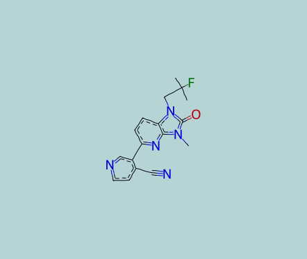 Cn1c(=O)n(CC(C)(C)F)c2ccc(-c3cnccc3C#N)nc21